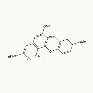 CCCCC/C(=C/c1cc(OC)cc(Oc2ccc(OC)cc2CCCCC)c1C)C(C)=O